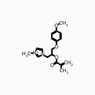 C=C(C)C(=O)OC(COc1ccc(OC)cc1)Cn1cc[n+](C)c1